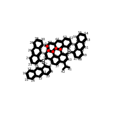 CC(C)c1cc(B(c2cccc3cc4ccccc4cc23)c2cccc3cc4ccccc4cc23)c2ccc3c(C(C)C)cc(B(c4cccc5cc6ccccc6cc45)c4cccc5cc6ccccc6cc45)c4ccc1c2c43